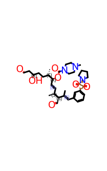 C/C(=C\c1cccc(S(=O)(=O)N2CCCC2)c1)[C@@H](C=O)[C@@H](C)/C=C/[C@H](OC(=O)N1CCN(C)CC1)[C@@H](C)CC[C@@H](O)CC=O